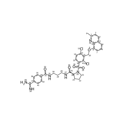 Cc1ccc2cccc(OCc3c(Cl)ccc(S(=O)(=O)N4CCC[C@H]4C(=O)NCCCNC(=O)c4ccc(C(=N)N)cc4)c3Cl)c2n1